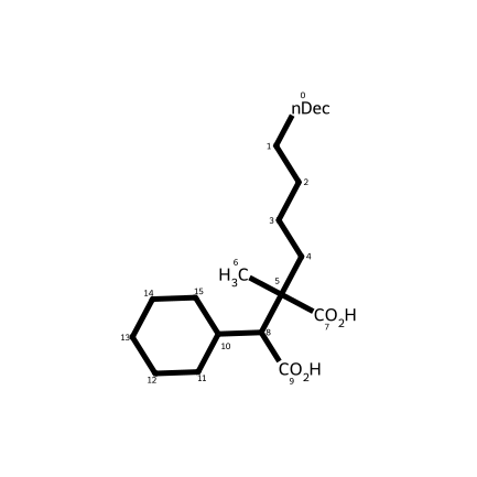 CCCCCCCCCCCCCCC(C)(C(=O)O)C(C(=O)O)C1CCCCC1